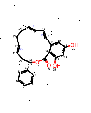 O=C1O[C@H](c2ccccc2)C/C=C/CC/C=C/C=C/c2cc(O)cc(O)c21